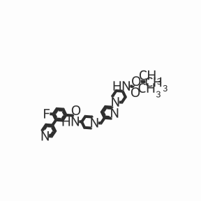 CC(C)(C)OC(=O)NC1CCN(c2ccc(CN3CCC(NC(=O)c4ccc(F)c(-c5ccncc5)c4)CC3)cn2)CC1